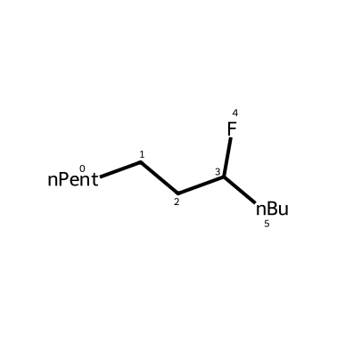 [CH2]CCCCCCC(F)CCCC